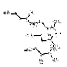 CCCCCCCCCCCCP(C)C.CCCCCCCCCCCCP(C)C.CCCCCCCCCCCCP(C)C.CCCCCCCCCCCCP(C)C.[Ni]